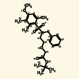 COc1cc(C)c(S(=O)(=O)N(CCOCC(=O)OC(C)(C)C)Cc2ccccc2)c(C)c1C